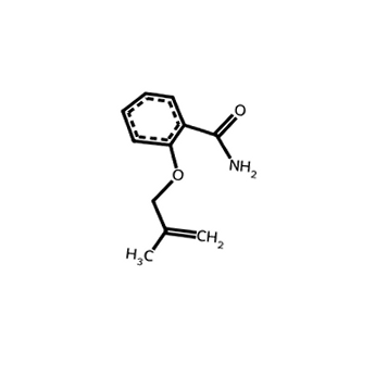 C=C(C)COc1ccccc1C(N)=O